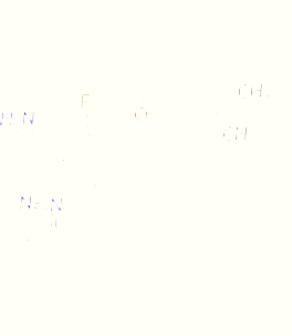 CC(C)CCOc1ccc(-n2cccn2)c(CN)c1F